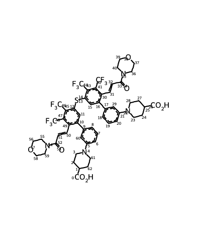 O=C(O)C1CCN(c2cccc(-c3cc(Sc4cc(-c5cccc(N6CCC(C(=O)O)CC6)c5)c(/C=C/C(=O)N5CCOCC5)c(C(F)(F)F)c4C(F)(F)F)c(C(F)(F)F)c(C(F)(F)F)c3/C=C/C(=O)N3CCOCC3)c2)CC1